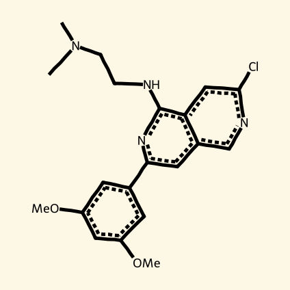 COc1cc(OC)cc(-c2cc3cnc(Cl)cc3c(NCCN(C)C)n2)c1